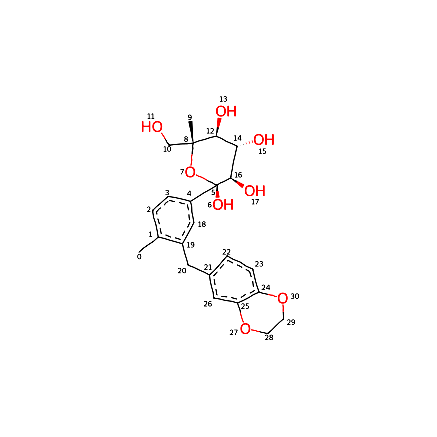 Cc1ccc([C@]2(O)O[C@](C)(CO)[C@@H](O)[C@H](O)[C@H]2O)cc1Cc1ccc2c(c1)OCCO2